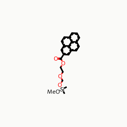 CO[Si](C)(C)OCOCCOC(=O)c1cc2ccc3cccc4ccc(c1)c2c34